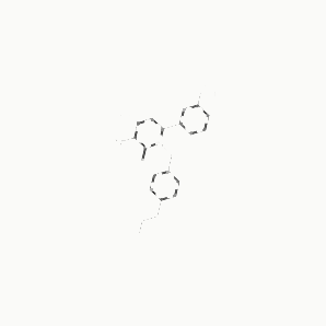 [C-]#[N+]c1c(C(F)(F)F)cc(-c2cccc(C)c2)n(Cc2ccc(CCO)cc2)c1=O